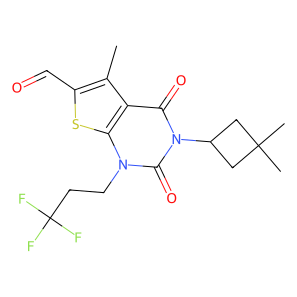 Cc1c(C=O)sc2c1c(=O)n(C1CC(C)(C)C1)c(=O)n2CCC(F)(F)F